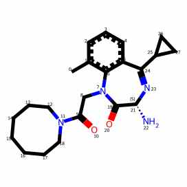 Cc1cccc2c1N(CC(=O)N1CCCCCCC1)C(=O)[C@@H](N)N=C2C1CC1